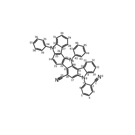 N#Cc1ccccc1-n1c2ccccc2c2c1cc(C#N)c1c3ccc4c(c5ccccc5n4-c4ccccc4)c3n(-c3ccccc3)c12